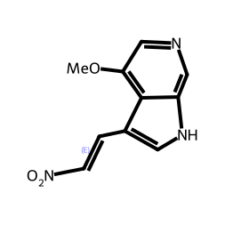 COc1cncc2[nH]cc(/C=C/[N+](=O)[O-])c12